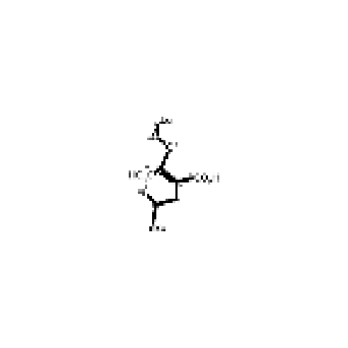 CCCCC(CC)C/C(C(=O)O)=C(/OOC(C)(C)C)C(=O)O